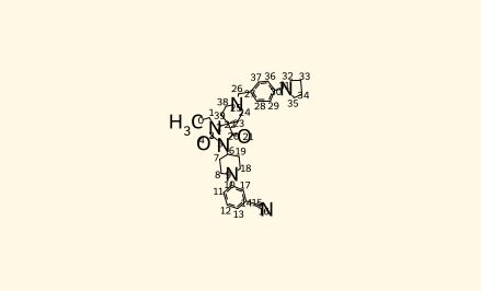 CCN1C(=O)N(C2CCN(c3cccc(C#N)c3)CC2)C(=O)C12CCN(Cc1ccc(N3CCCC3)cc1)CC2